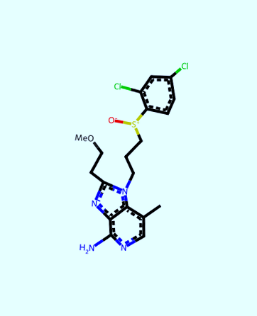 COCCc1nc2c(N)ncc(C)c2n1CCC[S+]([O-])c1ccc(Cl)cc1Cl